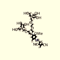 COc1cc(/N=N/C2SC(C#N)=C(C)C2C#N)c(C)cc1N(CCOCCOCC[N+](CCO)(CCO)CCO)CCOCC[N+](CCO)(CCO)CCO